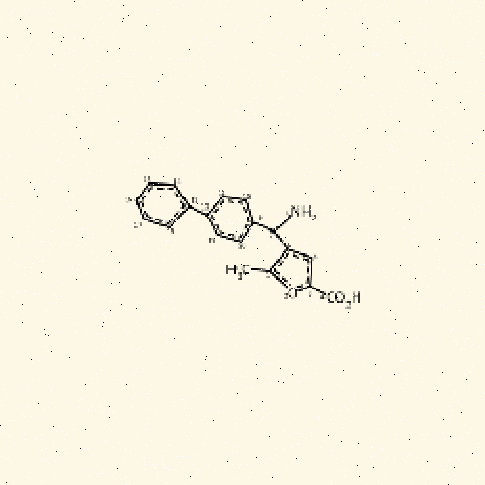 Cc1oc(C(=O)O)cc1C(N)c1ccc(-c2ccccc2)cc1